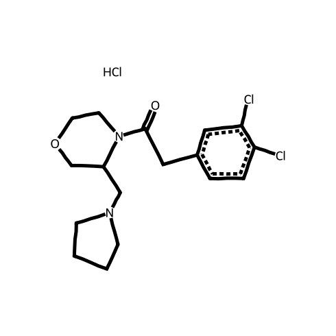 Cl.O=C(Cc1ccc(Cl)c(Cl)c1)N1CCOCC1CN1CCCC1